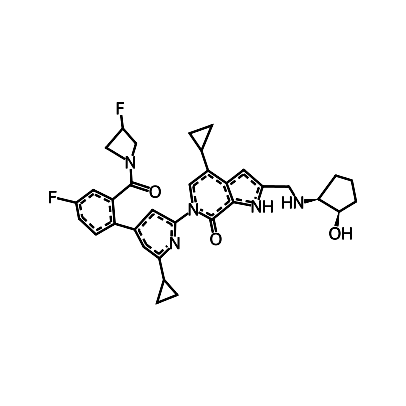 O=C(c1cc(F)ccc1-c1cc(C2CC2)nc(-n2cc(C3CC3)c3cc(CN[C@H]4CCC[C@H]4O)[nH]c3c2=O)c1)N1CC(F)C1